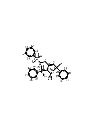 CC(C)(/C=C(/CC[PH](C)(C)c1ccccc1)C(CCl)[PH](C)(C)c1ccccc1)c1ccccc1